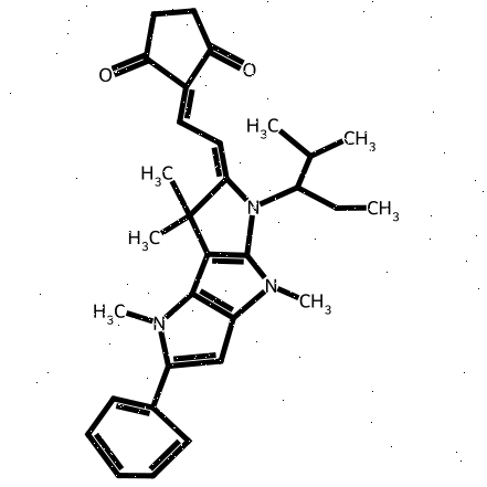 CCC(C(C)C)N1/C(=C/C=C2C(=O)CCC2=O)C(C)(C)c2c1n(C)c1cc(-c3ccccc3)n(C)c21